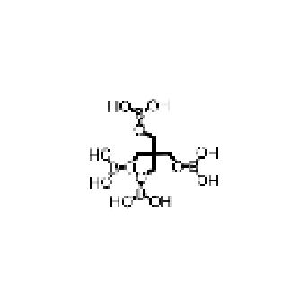 OB(O)OCC(COB(O)O)(COB(O)O)COB(O)O